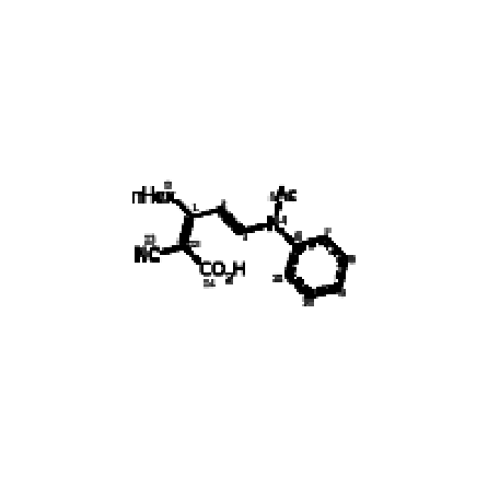 CCCCCCC(C=CN(C(C)=O)c1ccccc1)=C(C#N)C(=O)O